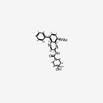 CNc1ccc(-c2ccccc2)c2ncc(NC(=O)N3CCC(C)(O)CC3)nc12